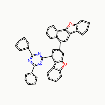 c1ccc(-c2nc(-c3ccccc3)nc(-c3cc(-c4cc5c6ccccc6oc5c5ccccc45)cc4oc5ccccc5c34)n2)cc1